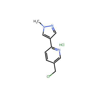 Cl.Cn1cc(-c2ccc(CCl)cn2)cn1